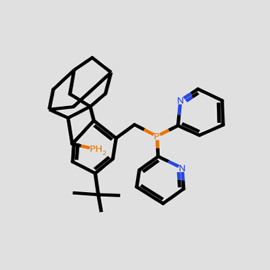 CC(C)(C)c1ccc(C23CC4CC(CC(C4)C2CP)C3)c(CP(c2ccccn2)c2ccccn2)c1